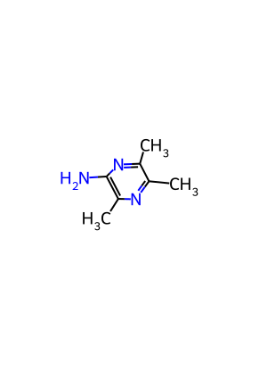 Cc1nc(C)c(N)nc1C